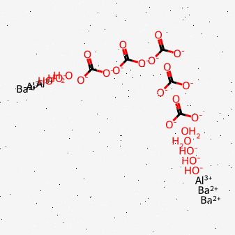 O.O.O.O=C([O-])[O-].O=C([O-])[O-].O=C([O-])[O-].O=C([O-])[O-].O=C([O-])[O-].[Al+3].[Al+3].[Al+3].[Ba+2].[Ba+2].[Ba+2].[OH-].[OH-].[OH-].[OH-].[OH-]